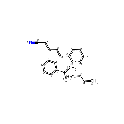 C=C(C)c1ccccc1.C=CC=C.N#CC=CC=Cc1ccccc1